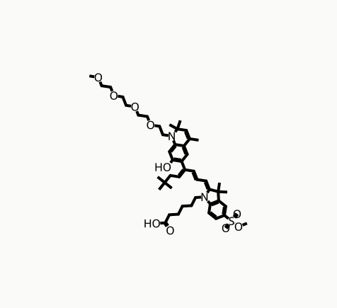 COCCOCCOCCOCCN1c2cc(O)c(C(=C\CC(C)(C)C)/C=C/C=C3\N(CCCCCC(=O)O)c4ccc(S(=O)(=O)OC)cc4C3(C)C)cc2C(C)=CC1(C)C